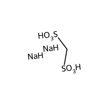 O=S(=O)(O)CS(=O)(=O)O.[NaH].[NaH]